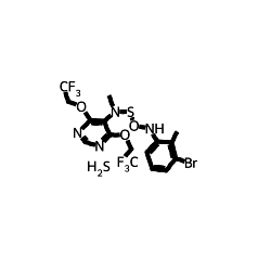 Cc1c(Br)cccc1NOSN(C)c1c(OCC(F)(F)F)ncnc1OCC(F)(F)F.S